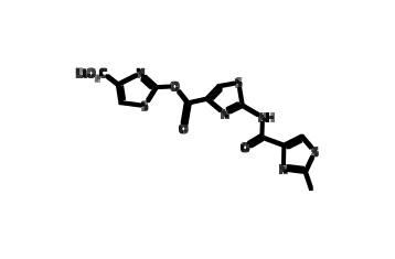 CCOC(=O)c1csc(OC(=O)c2csc(NC(=O)c3csc(C)n3)n2)n1